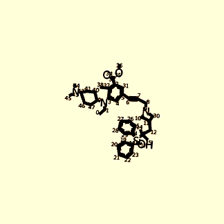 CCN(c1cc(C#CCN2CC(CC(C)(C)[Si](O)(c3ccccc3)c3ccccc3)C2)cc(C(=O)OC)c1C)[C@H]1CC[C@H](N(C)C)CC1